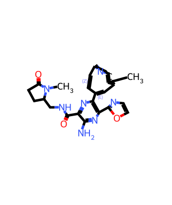 CC1=CN=C2/C=C\C(c3nc(C(=O)NCC4CCC(=O)N4C)c(N)nc3-c3ncco3)=C/C1CC2